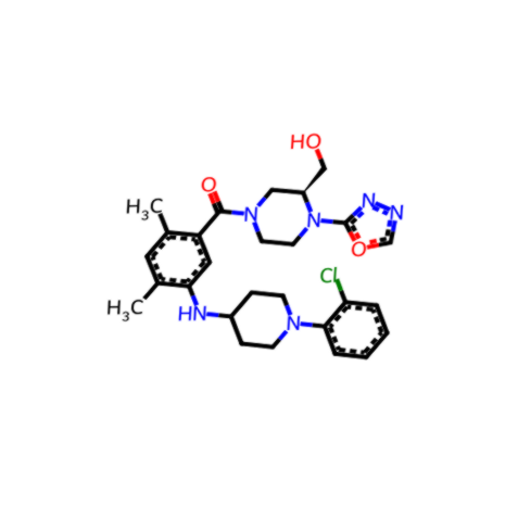 Cc1cc(C)c(C(=O)N2CCN(c3nnco3)[C@H](CO)C2)cc1NC1CCN(c2ccccc2Cl)CC1